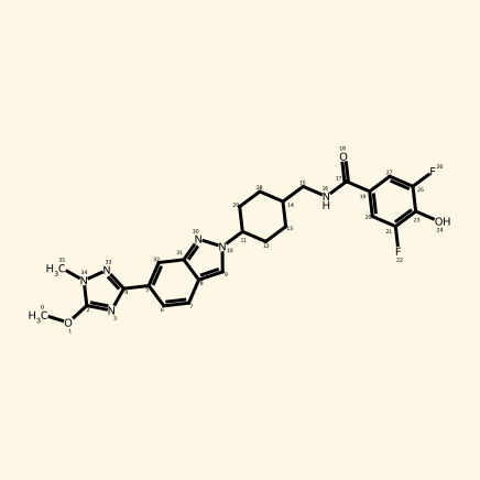 COc1nc(-c2ccc3cn(C4CCC(CNC(=O)c5cc(F)c(O)c(F)c5)CC4)nc3c2)nn1C